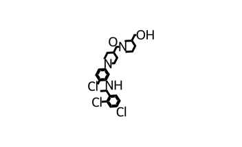 CC(Nc1cc(N2CCC(C(=O)N3CCCC(CO)C3)CC2)ccc1Cl)c1ccc(Cl)cc1Cl